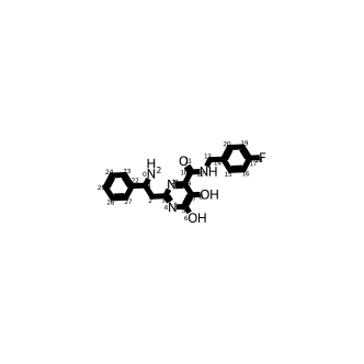 NC(Cc1nc(O)c(O)c(C(=O)NCc2ccc(F)cc2)n1)c1ccccc1